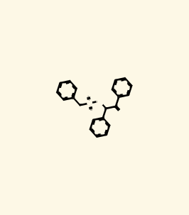 O=C(c1ccccc1)C(OS(=O)(=O)Cc1ccccc1)c1ccccc1